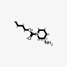 CCCCOC(=O)N1CCC[C@H](N)C1